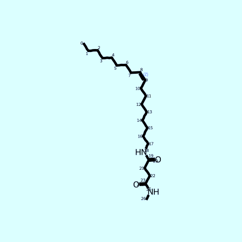 CCCCCCCC/C=C\CCCCCCCCNC(=O)CCC(=O)NC